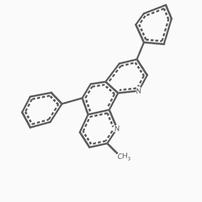 Cc1ccc2c(-c3ccccc3)cc3cc(-c4ccccc4)cnc3c2n1